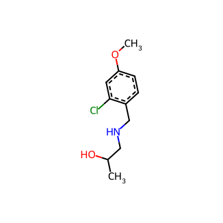 COc1ccc(CNCC(C)O)c(Cl)c1